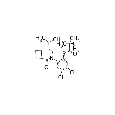 CC(C)CCN(C(=O)C1CCC1)c1cc(Cl)c(Cl)cc1SC(=O)C(C)(C)C